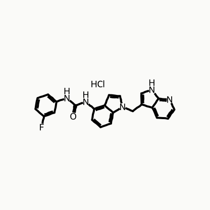 Cl.O=C(Nc1cccc(F)c1)Nc1cccc2c1ccn2Cc1c[nH]c2ncccc12